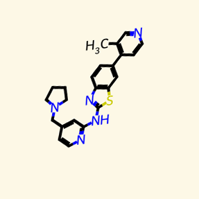 Cc1cnccc1-c1ccc2nc(Nc3cc(CN4CCCC4)ccn3)sc2c1